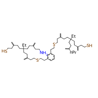 C=C(CCC)CCC(CC)(CCC(=C)CCS)CCC(=C)CCSCCc1cccc(CCSCCC(=C)CCC(CC)(CCC(=C)CCN)CCC(=C)CCS)c1